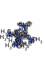 Cc1nc(C)nc(-c2ccc3c(c2)c2cc(-c4nc(C)nc(C)n4)ccc2n3-c2ccc(-c3nc(-c4ccccc4)nc(-c4ccccc4)n3)cc2-c2ccc(-n3c4ccc(-c5nc(C)nc(C)n5)cc4c4cc(-c5nc(C)nc(C)n5)ccc43)c(-c3ccccc3C#N)c2)n1